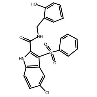 O=C(NCc1ccccc1O)c1[nH]c2ccc(Cl)cc2c1S(=O)(=O)c1ccccc1